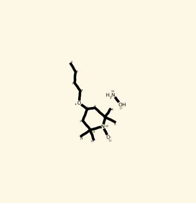 CCCCOC1CC(C)(C)N([O])C(C)(C)C1.NO